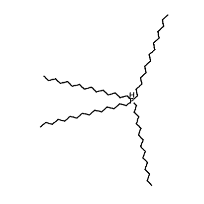 CCCCCCCCCCCCCCC[PH](CCCCCCCCCCCCCCC)(CCCCCCCCCCCCCCC)CCCCCCCCCCCCCCC